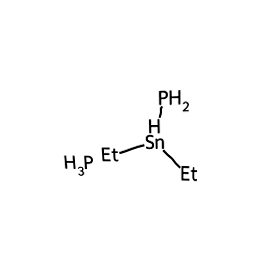 C[CH2][SnH]([PH2])[CH2]C.P